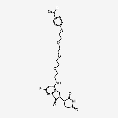 O=C1CCC(N2Cc3c(NCCOCCOCCOCCOc4ccc([N+](=O)[O-])cc4)cc(F)cc3C2=O)C(=O)N1